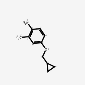 Nc1ccc(OCC2CC2)cc1C(F)(F)F